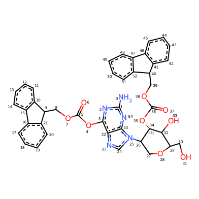 Nc1nc(OC(=O)OCC2c3ccccc3-c3ccccc32)c2ncn(C3COC(CO)C(O)[C@H]3OC(=O)OCC3c4ccccc4-c4ccccc43)c2n1